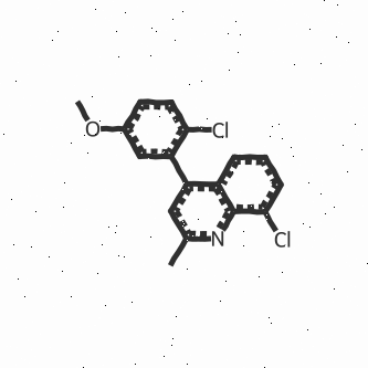 COc1ccc(Cl)c(-c2cc(C)nc3c(Cl)cccc23)c1